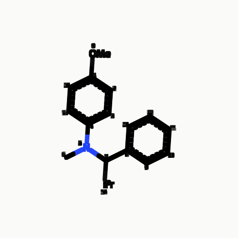 COc1ccc(N(C)C(c2ccccc2)C(C)C)cc1